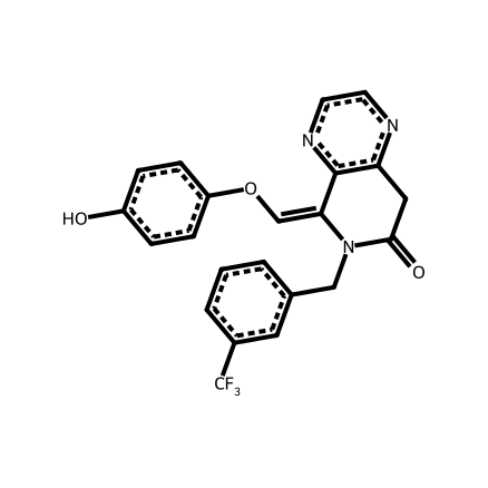 O=C1Cc2nccnc2/C(=C\Oc2ccc(O)cc2)N1Cc1cccc(C(F)(F)F)c1